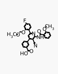 COCOc1cc(F)ccc1-c1cc(-c2cccc(C(=O)O)c2)c(C#N)c(NC(=O)c2ccccc2OC)n1